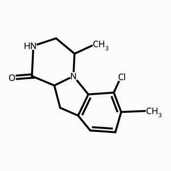 Cc1ccc2c(c1Cl)N1C(C)CNC(=O)C1C2